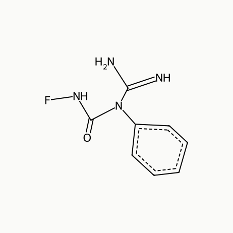 N=C(N)N(C(=O)NF)c1ccccc1